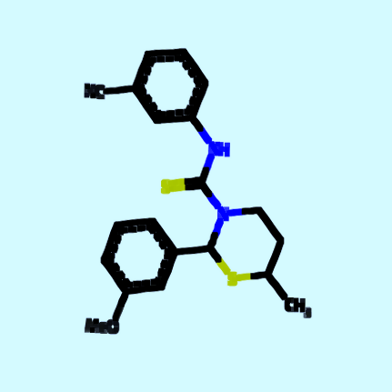 COc1cccc(C2SC(C)CCN2C(=S)Nc2cccc(C#N)c2)c1